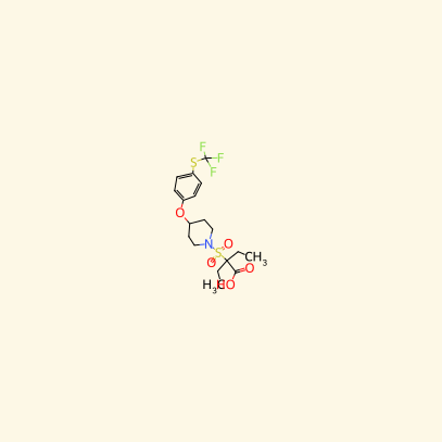 CCC(CC)(C(=O)O)S(=O)(=O)N1CCC(Oc2ccc(SC(F)(F)F)cc2)CC1